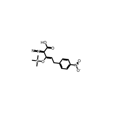 C[Si](C)(C)OC(=CCc1ccc([N+](=O)[O-])cc1)C(=[N+]=[N-])C(=O)O